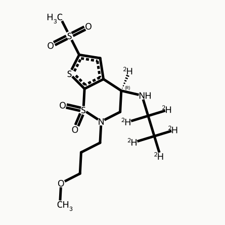 [2H]C([2H])([2H])C([2H])([2H])N[C@@]1([2H])CN(CCCOC)S(=O)(=O)c2sc(S(C)(=O)=O)cc21